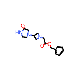 O=C1CN(C2CN(CC(=O)OCc3ccccc3)C2)CCN1